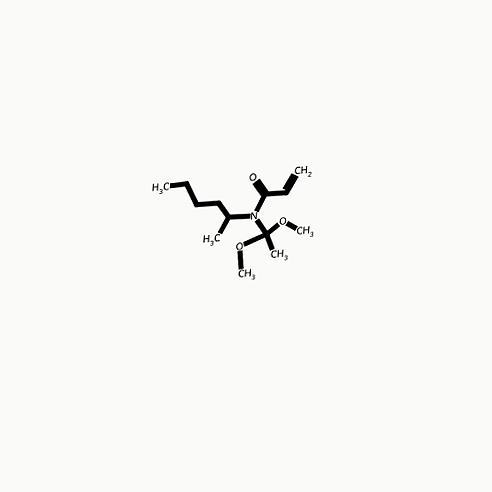 C=CC(=O)N(C(C)CCCC)C(C)(OC)OC